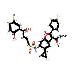 CNC(=O)c1c(-c2ccc(F)cc2)oc2cc(NS(=O)(=O)CCCC(O)c3cc(F)ccc3Br)c(C3CC3)cc12